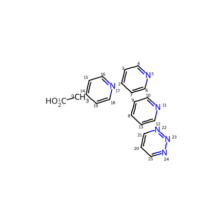 CC(=O)O.c1ccncc1.c1ccncc1.c1ccncc1.c1cnnnc1